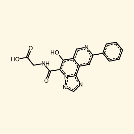 O=C(O)CNC(=O)c1c(O)c2cnc(-c3ccccc3)cc2c2ncnn12